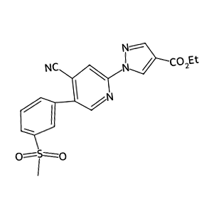 CCOC(=O)c1cnn(-c2cc(C#N)c(-c3cccc(S(C)(=O)=O)c3)cn2)c1